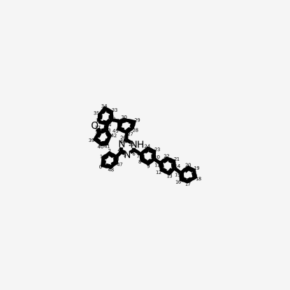 c1ccc(C2=NC(c3ccc(-c4ccc(-c5ccccc5)cc4)cc3)NC(c3cccc(-c4cccc5oc6ccccc6c45)c3)=N2)cc1